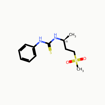 C[C@@H](CCS(C)(=O)=O)NC(=S)Nc1ccccc1